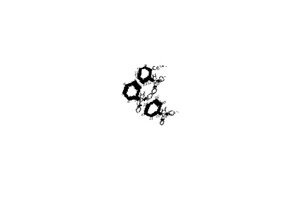 O=[PH]([O-])c1ccccc1.O=[PH]([O-])c1ccccc1.O=[PH]([O-])c1ccccc1.[Ce+3]